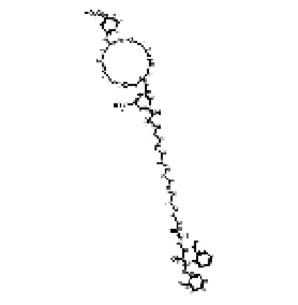 C=Cc1ccccc1N(Cc1ccccc1C)C(=O)CCNC(=O)CCOCCOCCOCCOCCNC(=S)Nc1cc(CN2CCOCCOCCN(Cc3cccc(C(=O)O)n3)CCOCCOCC2)nc(C(=O)O)c1